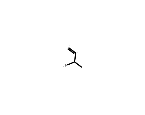 C=CC(C)F